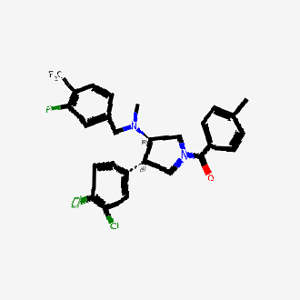 Cc1ccc(C(=O)N2C[C@H](c3ccc(Cl)c(Cl)c3)[C@@H](N(C)Cc3ccc(C(F)(F)F)c(F)c3)C2)cc1